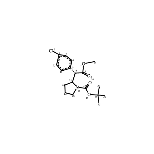 COC(=O)[C@@H](c1ccc(Cl)cc1)C1CCCN1C(=O)OC(C)(C)C